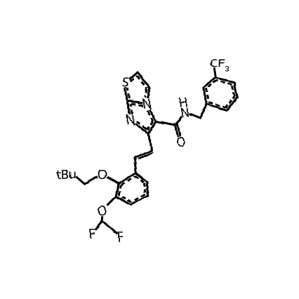 CC(C)(C)COc1c(C=Cc2nc3sccn3c2C(=O)NCc2cccc(C(F)(F)F)c2)cccc1OC(F)F